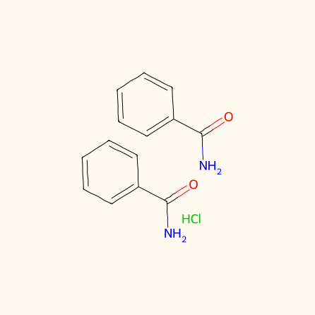 Cl.NC(=O)c1ccccc1.NC(=O)c1ccccc1